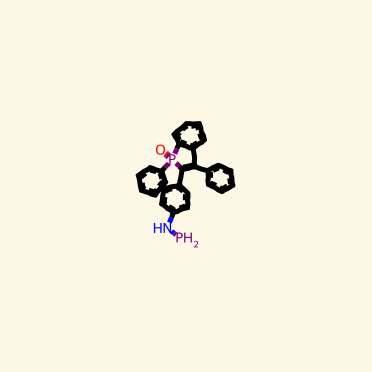 O=P1(c2ccccc2)C(c2ccc(NP)cc2)=C(c2ccccc2)c2ccccc21